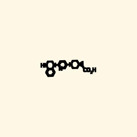 O=C(O)C1CC12CCN(c1ccc(N3CCNc4ccccc43)nc1)CC2